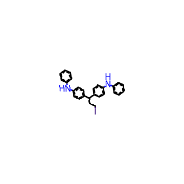 ICCC(c1ccc(Nc2ccccc2)cc1)c1ccc(Nc2ccccc2)cc1